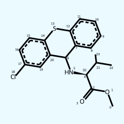 COC(=O)[C@@H](NC1c2ccccc2Sc2ccc(Cl)cc21)C(C)C